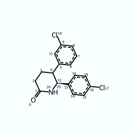 O=C1CCC(c2cccc(Cl)c2)[C@@H](c2ccc(Cl)cc2)N1